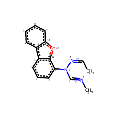 C/C=N\N(/C=N/C)c1cccc2c1oc1ccccc12